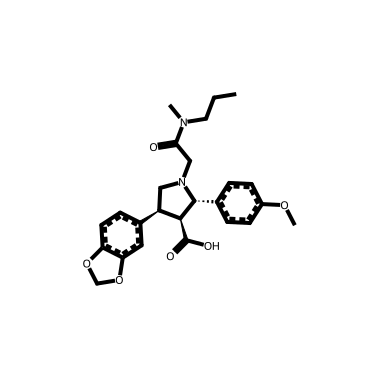 CCCN(C)C(=O)CN1C[C@H](c2ccc3c(c2)OCO3)[C@H](C(=O)O)[C@H]1c1ccc(OC)cc1